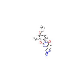 Cc1c(C2C=NNC2)nc(OCC(F)(F)F)n(-c2ccc(OCC(F)(F)F)cc2)c1=O